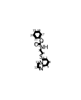 O=C(NCCSc1cccc2nccn12)Oc1ccccc1